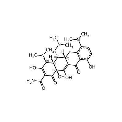 CN(C)C[C@H]1[C@H]2[C@H](N(C)C)C(O)=C(C(N)=O)C(=O)[C@@]2(O)C(O)=C2C(=O)c3c(O)ccc(N(C)C)c3C[C@H]21